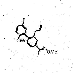 C=CCc1cc(C(C)=NOC)ccc1-c1cc(F)ccc1OC